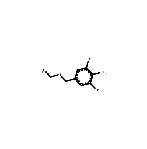 Cc1c(Br)cc(COCC(F)(F)F)cc1Br